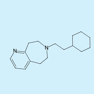 c1cnc2c(c1)CCN(CCC1CCCCC1)CC2